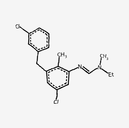 CCN(C)C=Nc1cc(Cl)cc(Cc2cccc(Cl)c2)c1C